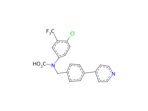 O=C(O)N(Cc1ccc(-c2ccncc2)cc1)c1ccc(Cl)c(C(F)(F)F)c1